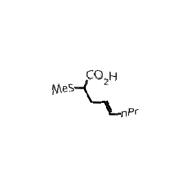 CCCC=CCC(SC)C(=O)O